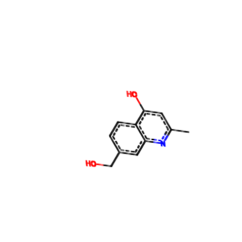 Cc1cc(O)c2ccc(CO)cc2n1